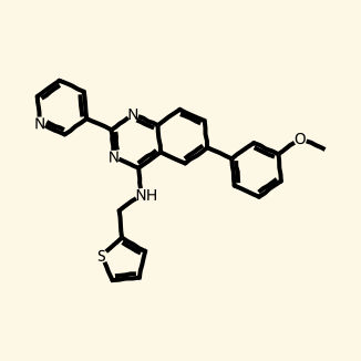 COc1cccc(-c2ccc3nc(-c4cccnc4)nc(NCc4cccs4)c3c2)c1